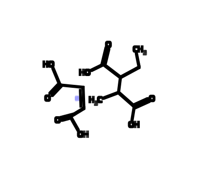 CCC(C(=O)O)C(C)C(=O)O.O=C(O)/C=C\C(=O)O